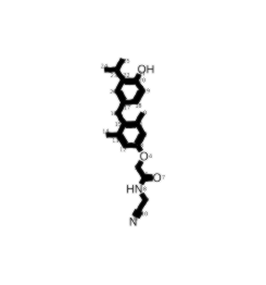 Cc1cc(OCC(=O)NCC#N)cc(C)c1Cc1ccc(O)c(C(C)C)c1